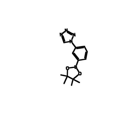 CC1(C)OB(c2cccc(-n3cnnn3)c2)OC1(C)C